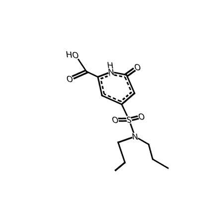 CCCN(CCC)S(=O)(=O)c1cc(C(=O)O)[nH]c(=O)c1